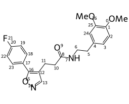 COc1ccc(CCNC(=O)CCc2cnoc2-c2ccc(F)cc2)cc1OC